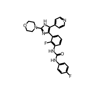 O=C(Nc1ccc(F)cc1)Nc1cccc(-c2nc(N3CCOCC3)[nH]c2-c2ccncc2)c1F